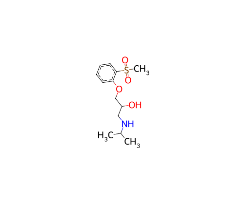 CC(C)NCC(O)COc1ccccc1S(C)(=O)=O